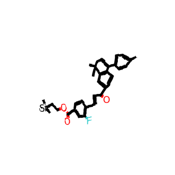 Cc1ccc(C2=CCC(C)(C)c3cc(C(=O)/C=C/c4ccc(C(=O)OCC[Si](C)(C)C)cc4F)ccc32)cc1